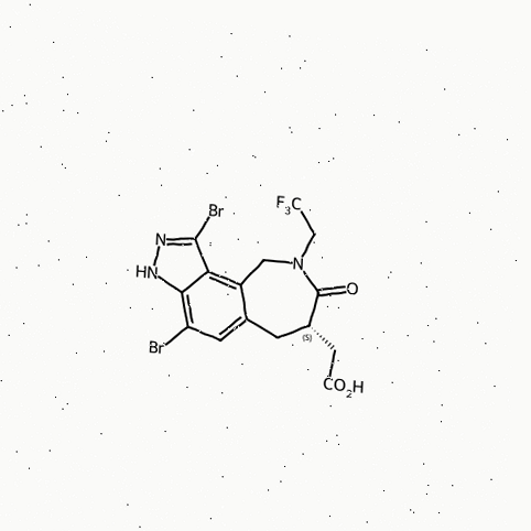 O=C(O)C[C@@H]1Cc2cc(Br)c3[nH]nc(Br)c3c2CN(CC(F)(F)F)C1=O